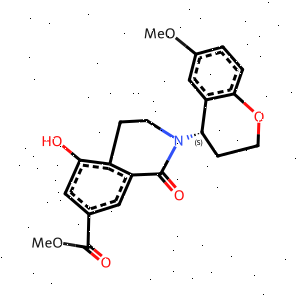 COC(=O)c1cc(O)c2c(c1)C(=O)N([C@H]1CCOc3ccc(OC)cc31)CC2